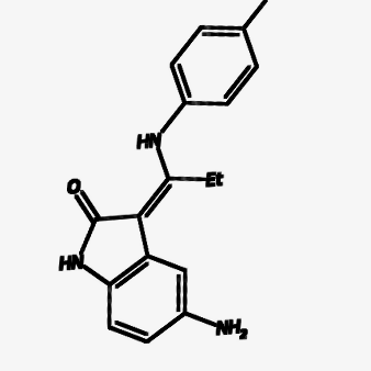 CC/C(Nc1ccc(Br)cc1)=C1/C(=O)Nc2ccc(N)cc21